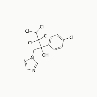 OC(Cn1cncn1)(c1ccc(Cl)cc1)C(Cl)(Cl)C(Cl)Cl